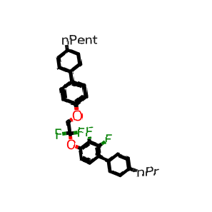 CCCCCC1CCC(c2ccc(OCC(F)(F)Oc3ccc(C4CCC(CCC)CC4)c(F)c3F)cc2)CC1